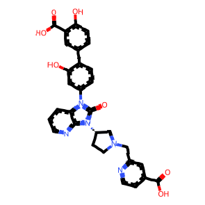 O=C(O)c1ccnc(CN2CC[C@H](n3c(=O)n(-c4ccc(-c5ccc(O)c(C(=O)O)c5)c(O)c4)c4cccnc43)C2)c1